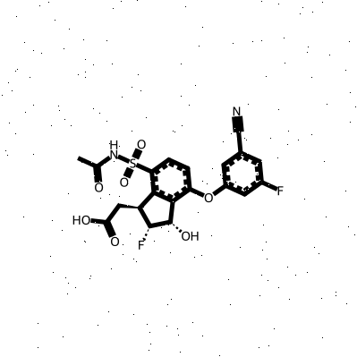 CC(=O)NS(=O)(=O)c1ccc(Oc2cc(F)cc(C#N)c2)c2c1[C@H](CC(=O)O)[C@@H](F)[C@H]2O